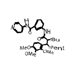 CCCCCC(c1ccc(OC)c(OC)c1OC)C(C(=O)Nc1cccc(C(=O)Nc2ccncc2)c1)C(C)(C)C